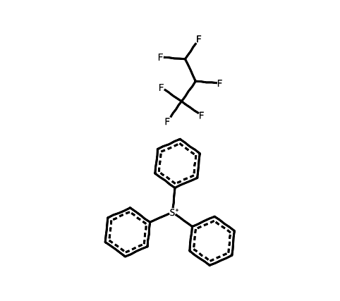 FC(F)C(F)C(F)(F)F.c1ccc([S+](c2ccccc2)c2ccccc2)cc1